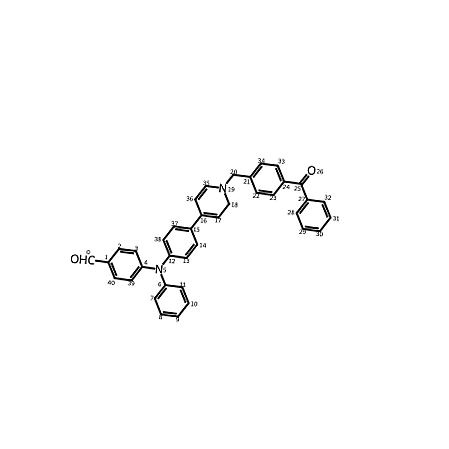 O=Cc1ccc(N(c2ccccc2)c2ccc(C3=CCN(Cc4ccc(C(=O)c5ccccc5)cc4)C=C3)cc2)cc1